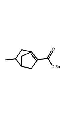 CC(C)COC(=O)C1=C2CC(C)C(C2)C1